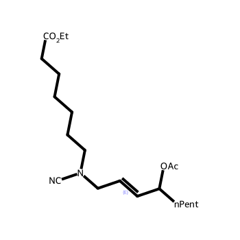 CCCCCC(/C=C/CN(C#N)CCCCCCC(=O)OCC)OC(C)=O